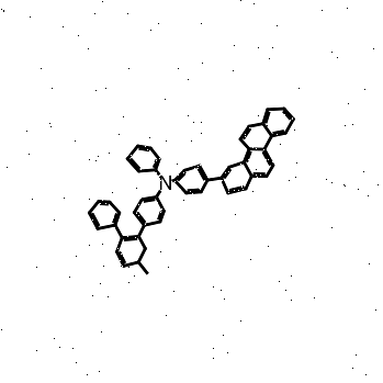 CC1C=CC(c2ccccc2)=C(c2ccc(N(c3ccccc3)c3ccc(-c4ccc5ccc6c7ccccc7ccc6c5c4)cc3)cc2)C1